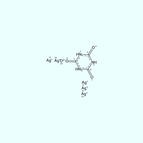 O=c1[nH]c(=O)[nH]c(=O)[nH]1.[Ag+].[Ag+].[Ag+].[Ag+].[Ag+].[O-2]